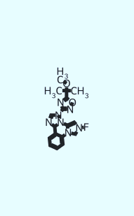 COC(C)(C)c1nc(N2C=NC3c4ccccc4N4CN(F)C=C4N32)no1